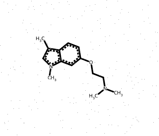 Cc1cn(C)c2cc(OCCN(C)C)ccc12